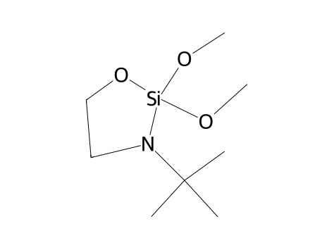 CO[Si]1(OC)OCCN1C(C)(C)C